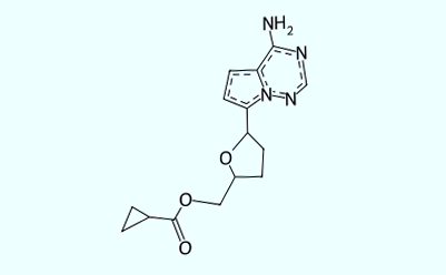 Nc1ncnn2c(C3CCC(COC(=O)C4CC4)O3)ccc12